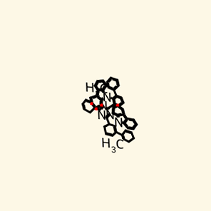 CC1=C(C2=C(n3c4ccccc4c4ccccc43)C(c3nc(-c4cccc(-c5ccccc5C)c4-n4c5ccccc5c5ccccc54)nc(C4C=CC=CC4)n3)CC=C2)C=CCC1